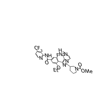 CCOc1cc(C(=O)Nc2cc(C(F)(F)F)ccn2)cc(F)c1-c1nc(C2CCCN(C(=O)OC)C2)n2ccnc(N)c12